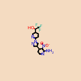 Nc1nccc(-c2cnn(-c3ccc(C(O)C(F)(F)F)cn3)c2)c1[N+](=O)[O-]